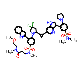 COCCN(C)C(=O)CCN(C)S(=O)(=O)c1ccc(N2CC(F)(F)CC2C2CC2c2cnc3c(-c4cc(S(=O)(=O)N(C)C)ccc4N4CCCC4)c[nH]c3c2)c(-c2cc3ccccc3[nH]2)c1